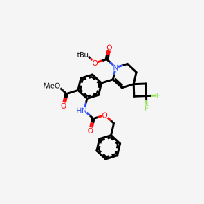 COC(=O)c1ccc(C2=CC3(CCN2C(=O)OC(C)(C)C)CC(F)(F)C3)cc1NC(=O)OCc1ccccc1